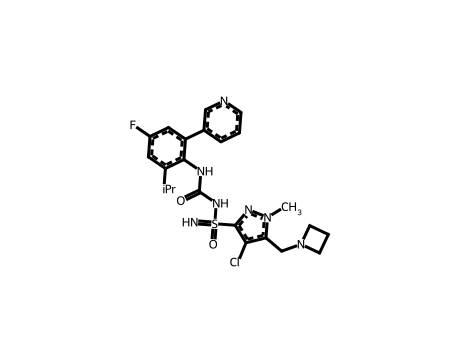 CC(C)c1cc(F)cc(-c2cccnc2)c1NC(=O)NS(=N)(=O)c1nn(C)c(CN2CCC2)c1Cl